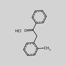 Cc1ccccc1CC(=O)c1ccccc1.Cl